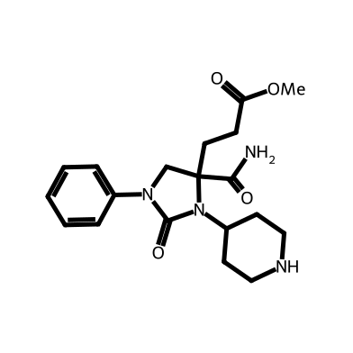 COC(=O)CCC1(C(N)=O)CN(c2ccccc2)C(=O)N1C1CCNCC1